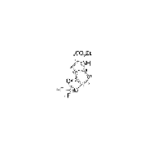 CCOC(=O)c1cc2c3c(ccc2[nH]1)OC(F)(F)O3